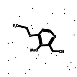 COc1c(OCC(F)(F)F)ccnc1CO